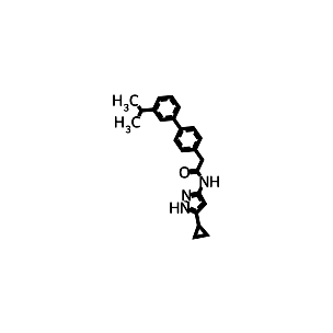 CC(C)c1cccc(-c2ccc(CC(=O)Nc3cc(C4CC4)[nH]n3)cc2)c1